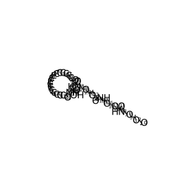 O=[C]COCCOCCNC(=O)COCCOCCNC(=O)COCCOCCNC(=O)C1C[C@@H](C(=O)O)NC(=O)CCCCCCCCCCCCCCCCC1=O